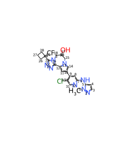 Cn1nccc1Nc1cc(-c2cc3n(c2)C[C@@H](O)Cn2c-3nnc2C2(C(F)(F)F)CCC2)c(Cl)cn1